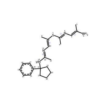 B/C(C)=C/N=C(\C)S/C(C)=C/N=C(\C)NC1(c2ccccc2)CCCC1